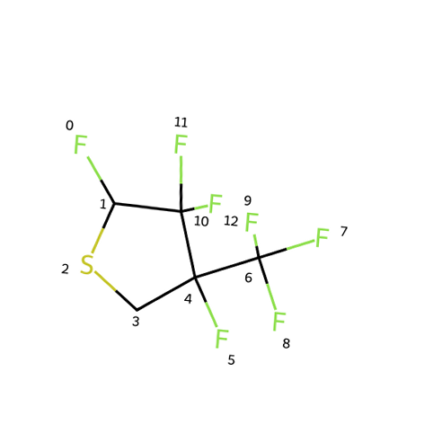 FC1SCC(F)(C(F)(F)F)C1(F)F